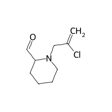 C=C(Cl)CN1CCCCC1C=O